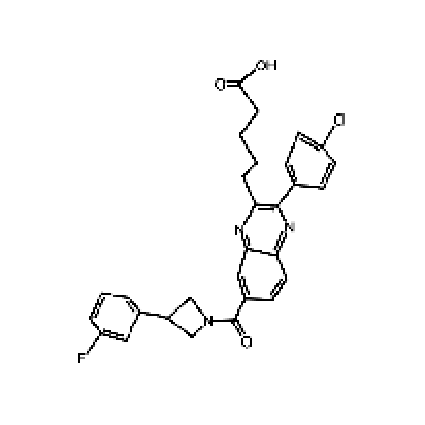 O=C(O)CCCCc1nc2cc(C(=O)N3CC(c4cccc(F)c4)C3)ccc2nc1-c1ccc(Cl)cc1